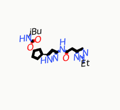 CC[C@H](C)NC(=O)O[C@@H]1CC[C@H](c2cc(NC(=O)Cc3cnn(CC)n3)n[nH]2)C1